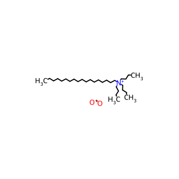 CCCCCCCCCCCCCCCCCC[N+](CCCC)(CCCC)CCCC.O=C[O-]